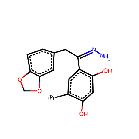 CC(C)c1cc(/C(Cc2ccc3c(c2)OCO3)=N\N)c(O)cc1O